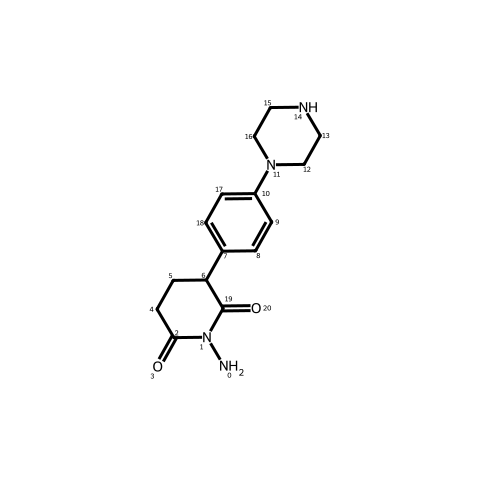 NN1C(=O)CCC(c2ccc(N3CCNCC3)cc2)C1=O